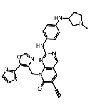 C#Cc1cc2cnc(Nc3ccc(NC4CCN(C)C4)cc3)nc2n(Cc2ncoc2-c2nccs2)c1=O